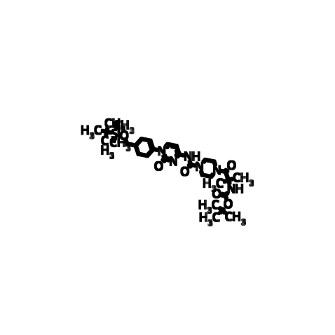 CC(C)(C)OC(=O)NC(C)(C)C(=O)N1CCN(C(=O)Nc2ccn(C3=CCC(CO[Si](C)(C)C(C)(C)C)CC3)c(=O)n2)CC1